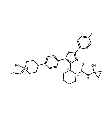 N#CN=[SH]1(O)CCN(c2ccc(-c3sc(-c4ccc(F)cc4)nc3[C@@H]3CCCC[C@H]3C(=O)NC3(C#N)CC3)cc2)CC1